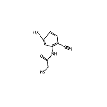 Cc1ccc(C#N)c(NC(=O)CS)c1